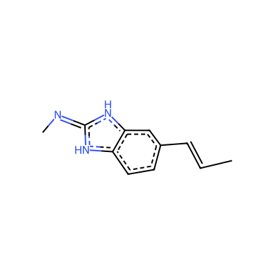 C/C=C/c1ccc2[nH]/c(=N\C)[nH]c2c1